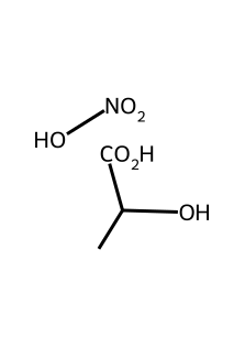 CC(O)C(=O)O.O=[N+]([O-])O